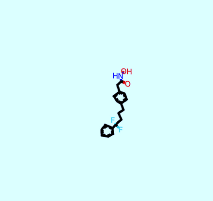 O=C(Cc1ccc(CCCC(F)(F)c2ccccc2)cc1)NO